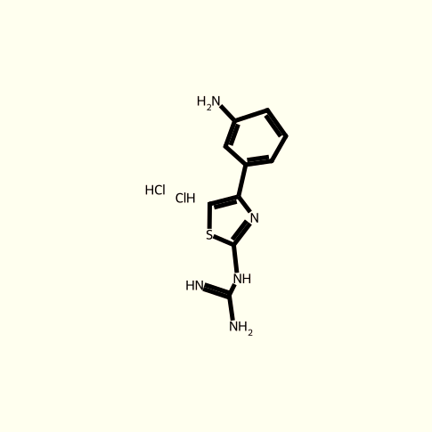 Cl.Cl.N=C(N)Nc1nc(-c2cccc(N)c2)cs1